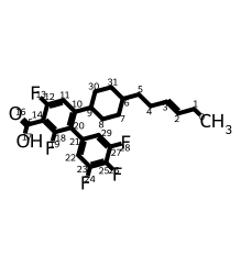 CCC=CCCC1CCC(c2cc(F)c(C(=O)O)c(F)c2-c2cc(F)c(F)c(F)c2)CC1